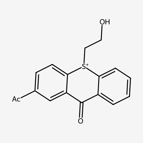 CC(=O)c1ccc2c(c1)c(=O)c1ccccc1[s+]2CCO